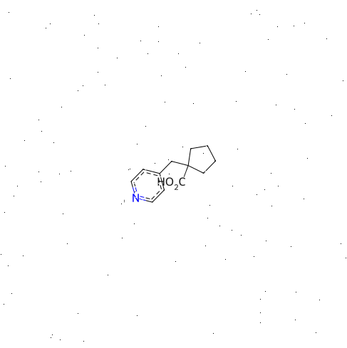 O=C(O)C1(Cc2ccncc2)CCCC1